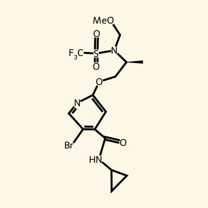 COCN([C@@H](C)COc1cc(C(=O)NC2CC2)c(Br)cn1)S(=O)(=O)C(F)(F)F